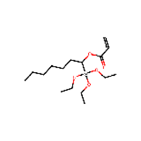 C=CC(=O)OC(CCCCCC)[Si](OCC)(OCC)OCC